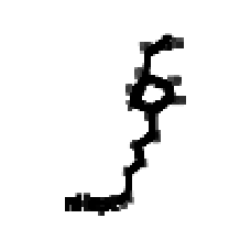 CCCCCCCCCCCCc1ccc(C[S])cc1